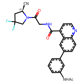 CC(=O)Nc1cccc(-c2ccc3nccc(C(=O)NCC(=O)N4CC(F)(F)C[C@H]4C#N)c3c2)c1